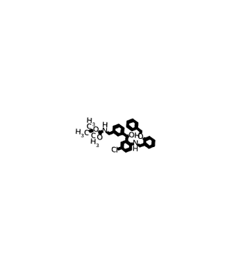 CC(C)(C)OC(=O)NCc1cccc(C(O)c2cc(Cl)ccc2NCc2ccccc2OCc2ccccc2)c1